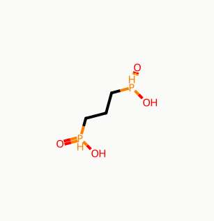 O=[PH](O)CCC[PH](=O)O